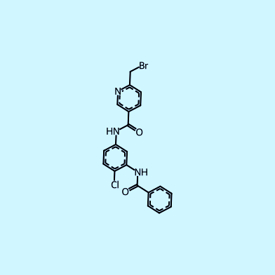 O=C(Nc1ccc(Cl)c(NC(=O)c2ccccc2)c1)c1ccc(CBr)nc1